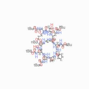 CCCCOC(=O)CCC(=O)N[C@@H](CCNC(=O)OC(C)(C)C)C(=O)N[C@H](C(=O)N[C@@H](CCNC(=O)OC(C)(C)C)C(=O)N[C@H]1CCNC(=O)[C@H](C(C)O)NC(=O)[C@H](CCNC(=O)OC(C)(C)C)NC(=O)[C@H](CCNC(=O)OC(C)(C)C)NC(=O)[C@H](CC(C)C)NC(=O)[C@@H](Cc2ccccc2)NC(=O)[C@H](CCNC(=O)OC(C)(C)C)NC1=O)C(C)O